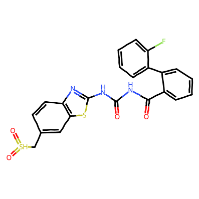 O=C(NC(=O)c1ccccc1-c1ccccc1F)Nc1nc2ccc(C[SH](=O)=O)cc2s1